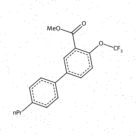 CCCc1ccc(-c2ccc(OC(F)(F)F)c(C(=O)OC)c2)cc1